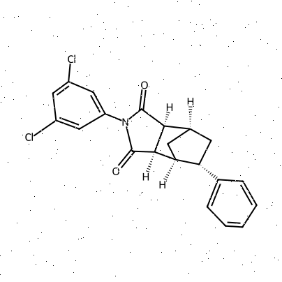 O=C1[C@@H]2[C@H]3C[C@H](C[C@@H]3c3ccccc3)[C@@H]2C(=O)N1c1cc(Cl)cc(Cl)c1